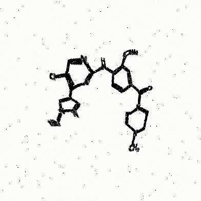 COc1cc(C(=O)N2CCN(C)CC2)ccc1Nc1ncc(Cl)c(-c2cnn(C(C)(C)C)c2)n1